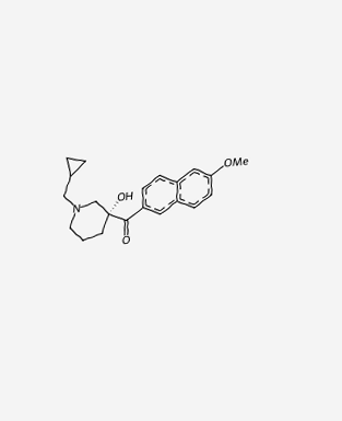 COc1ccc2cc(C(=O)[C@@]3(O)CCCN(CC4CC4)C3)ccc2c1